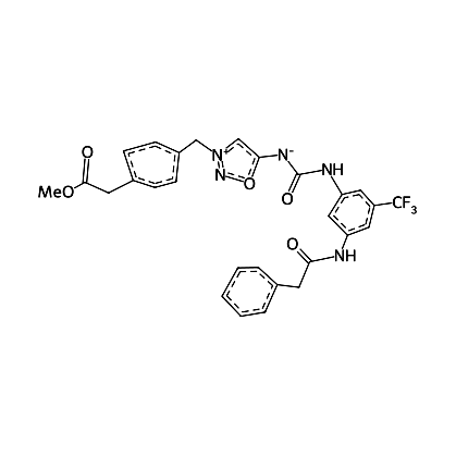 COC(=O)Cc1ccc(C[n+]2cc([N-]C(=O)Nc3cc(NC(=O)Cc4ccccc4)cc(C(F)(F)F)c3)on2)cc1